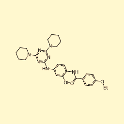 CCOc1ccc(C(=O)Nc2ccc(Nc3nc(N4CCCCC4)nc(N4CCCCC4)n3)cc2O)cc1